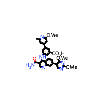 COc1cc(-c2cc(Nc3c(C(N)=O)cnc4cc(-c5cnc(OC)nc5OC)ccc34)cc(C(=O)O)c2)cc(C)n1